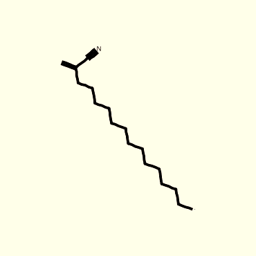 [CH2]CCCCCCCCCCCCCC(=C)C#N